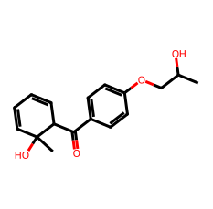 CC(O)COc1ccc(C(=O)C2C=CC=CC2(C)O)cc1